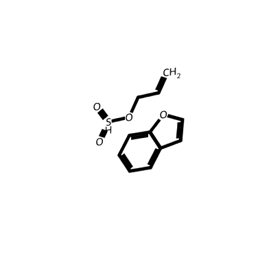 C=CCO[SH](=O)=O.c1ccc2occc2c1